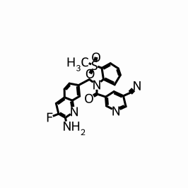 CS(=O)(=O)c1ccccc1N(Cc1ccc2cc(F)c(N)nc2c1)C(=O)c1cncc(C#N)c1